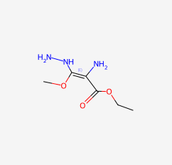 CCOC(=O)/C(N)=C(/NN)OC